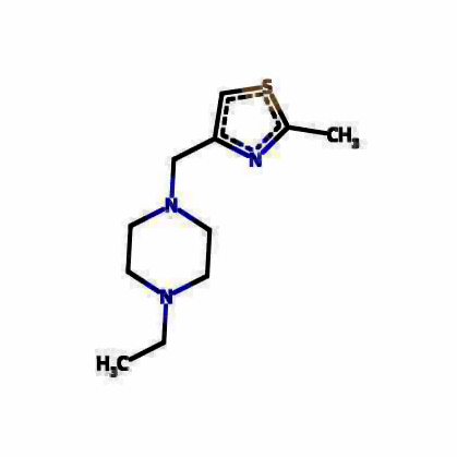 CCN1CCN(Cc2csc(C)n2)CC1